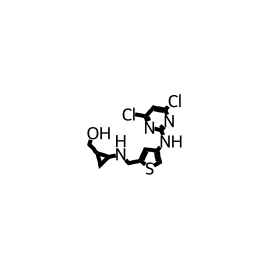 OCC1CC1NCc1cc(Nc2nc(Cl)cc(Cl)n2)cs1